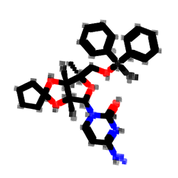 CC(C)(C)[Si](OC[C@@]1(C)O[C@@H](n2ccc(N)nc2=O)[C@@H]2OC3(CCCC3)O[C@@H]21)(c1ccccc1)c1ccccc1